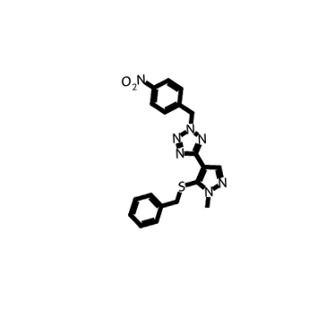 Cn1ncc(-c2nnn(Cc3ccc([N+](=O)[O-])cc3)n2)c1SCc1ccccc1